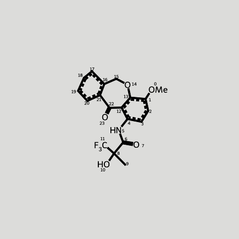 COc1ccc(NC(=O)C(C)(O)C(F)(F)F)c2c1OCc1ccccc1C2=O